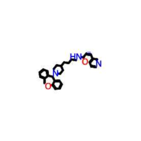 O=C(/C=C\c1cccnc1)NCCCCC1CCN(C2c3ccccc3COc3ccccc32)CC1